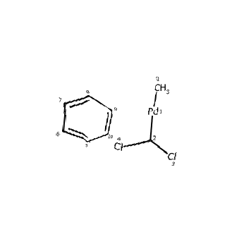 [CH3][Pd][CH](Cl)Cl.[c]1ccccc1